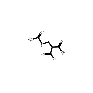 CC(=O)OCC(C(=O)O)C(=O)O